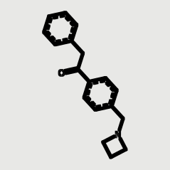 O=C(Cc1ccccc1)c1ccc(CN2CCC2)cc1